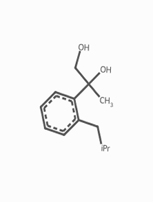 CC(C)Cc1ccccc1C(C)(O)CO